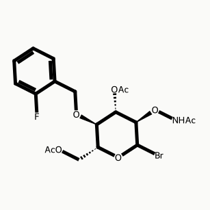 CC(=O)NO[C@H]1C(Br)O[C@H](COC(C)=O)[C@@H](OCc2ccccc2F)[C@@H]1OC(C)=O